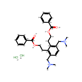 CN(C)Cc1ccc(CN(C)C)c(CCOC(=O)c2ccccc2)c1CCOC(=O)c1ccccc1.Cl.Cl